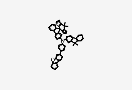 CC1(C)c2ccccc2-c2ccc(N(c3ccc(-c4ccc5c(c4)oc4ccccc45)cc3)c3ccc4c(c3)C3(c5ccccc5-4)c4ccccc4C(C)(C)c4ccccc43)cc21